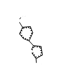 CCCCCCCCCCOc1ccc(-c2ccc(CCCCCC)s2)cc1